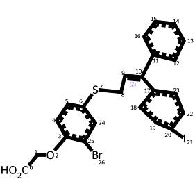 O=C(O)COc1ccc(SC/C=C(/c2ccccc2)c2ccc(I)cc2)cc1Br